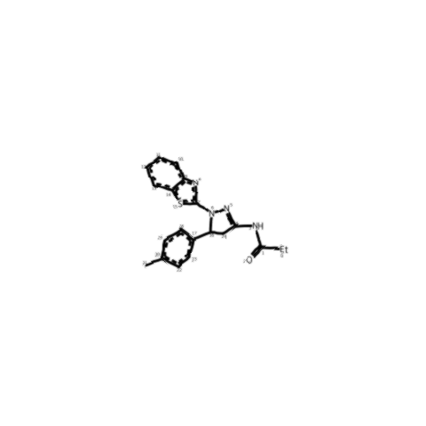 CCC(=O)NC1=NN(c2nc3ccccc3s2)C(c2ccc(C)cc2)C1